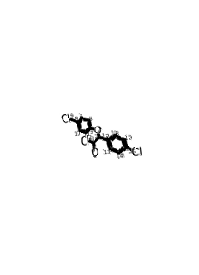 O=C(Cl)C(Oc1ccc(Cl)cc1)c1ccc(Cl)cc1